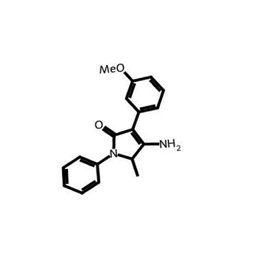 COc1cccc(C2=C(N)C(C)N(c3ccccc3)C2=O)c1